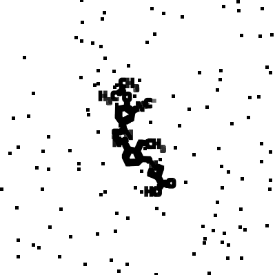 [C-]#[N+]c1cc(-c2nc(-c3cccc(CN4CC(C(=O)O)C4)c3CC)ns2)ccc1OC(C)C